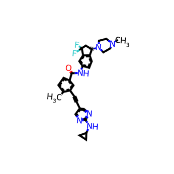 Cc1ccc(C(=O)Nc2ccc3c(c2)C(F)(F)C[C@H]3N2CCN(C)CC2)cc1C#Cc1cnc(NC2CC2)nc1